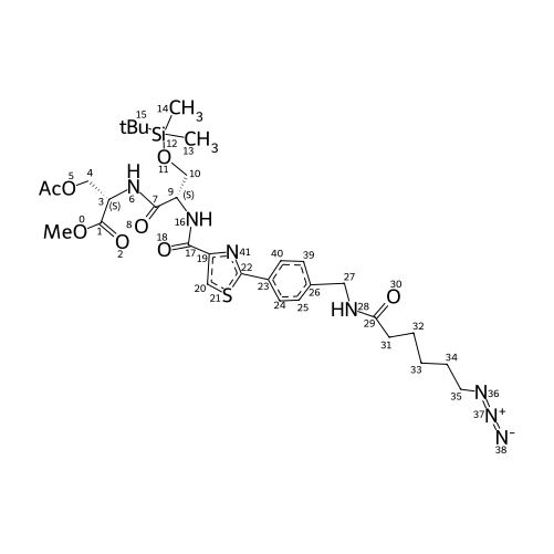 COC(=O)[C@H](COC(C)=O)NC(=O)[C@H](CO[Si](C)(C)C(C)(C)C)NC(=O)c1csc(-c2ccc(CNC(=O)CCCCCN=[N+]=[N-])cc2)n1